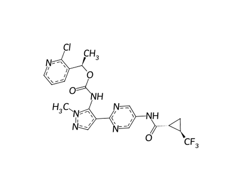 C[C@@H](OC(=O)Nc1c(-c2ncc(NC(=O)[C@@H]3C[C@H]3C(F)(F)F)cn2)cnn1C)c1cccnc1Cl